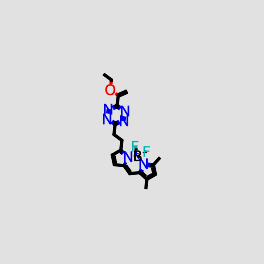 C=C(OCC)c1nnc(CCC2=[N+]3C(=Cc4c(C)cc(C)n4[B-]3(F)F)C=C2)nn1